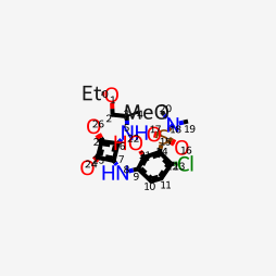 CCOC[C@@H](C)Nc1c(Nc2ccc(Cl)c(S(=O)(=O)N(C)OC)c2O)c(=O)c1=O